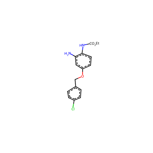 CCOC(=O)Nc1ccc(OCc2ccc(Cl)cc2)cc1N